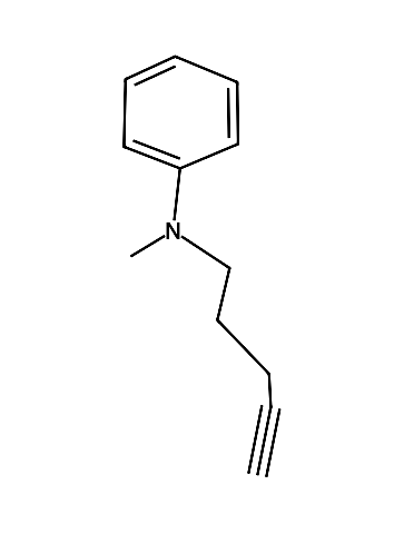 C#CCCCN(C)c1ccccc1